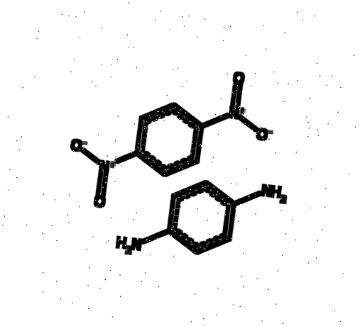 Nc1ccc(N)cc1.O=[N+]([O-])c1ccc([N+](=O)[O-])cc1